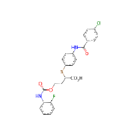 O=C(Nc1ccccc1F)OCCC(Sc1ccc(NC(=O)c2ccc(Cl)cc2)cc1)C(=O)O